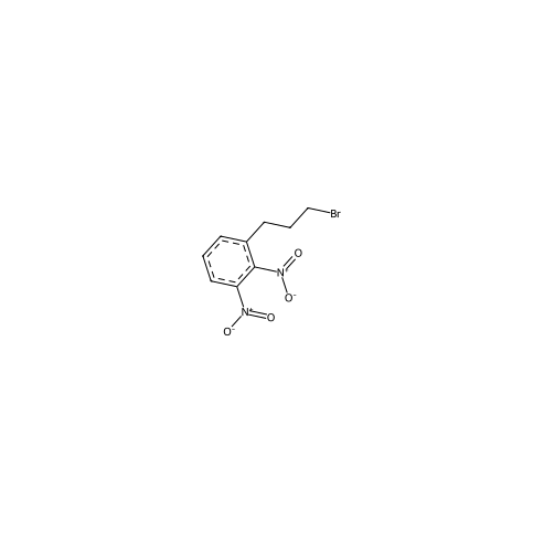 O=[N+]([O-])c1cccc(CCCBr)c1[N+](=O)[O-]